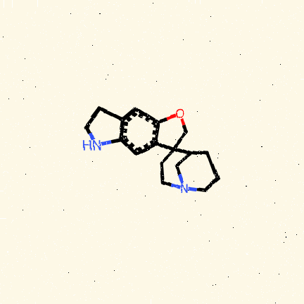 c1c2c(cc3c1OCC31CCN3CCCC1C3)NCC2